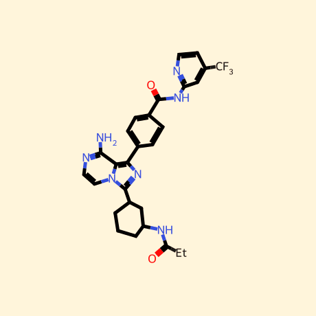 CCC(=O)NC1CCCC(c2nc(-c3ccc(C(=O)Nc4cc(C(F)(F)F)ccn4)cc3)c3c(N)nccn23)C1